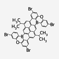 CC(C)c1cc2c3c(cc4c(C(C)C)cc5c6c(cc1c3c46)B1c3ccc(Br)cc3Oc3cc(Br)cc-5c31)B1c3ccc(Br)cc3Oc3cc(Br)cc-2c31